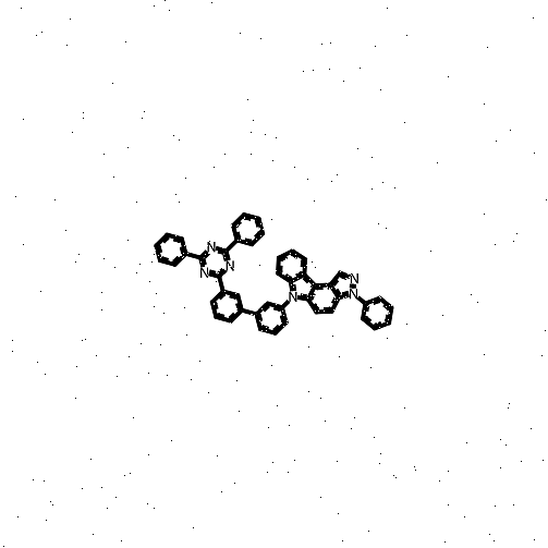 c1ccc(-c2nc(-c3ccccc3)nc(-c3cccc(-c4cccc(-n5c6ccccc6c6c7cnn(-c8ccccc8)c7ccc65)c4)c3)n2)cc1